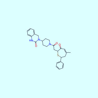 CC1=CC(=O)C(CC(=O)N2CCC(N3Cc4ccccc4NC3=O)CC2)SC(c2ccccc2)C1